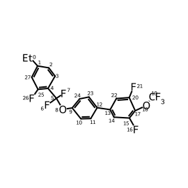 CCc1ccc(C(F)(F)Oc2ccc(-c3cc(F)c(OC(F)(F)F)c(F)c3)cc2)c(F)c1